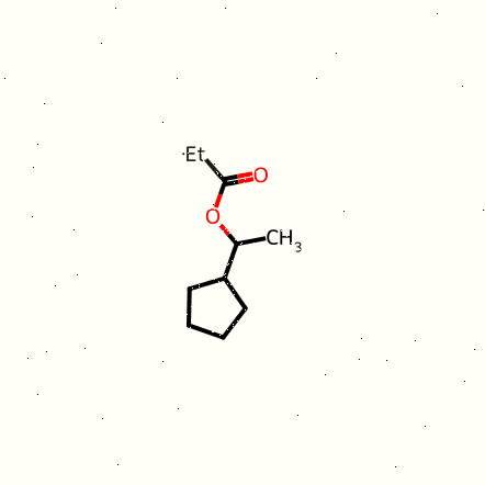 C[CH]C(=O)OC(C)C1CCCC1